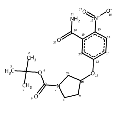 CC(C)(C)OC(=O)N1CCC(Oc2ccc([N+](=O)[O-])c(C(N)=O)c2)C1